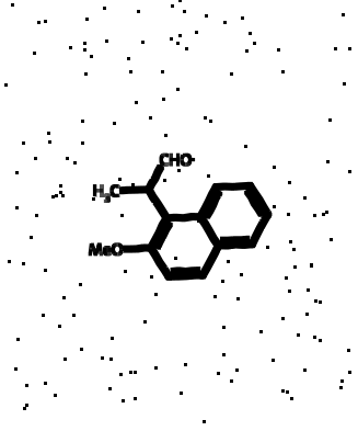 COc1ccc2ccccc2c1C(C)[C]=O